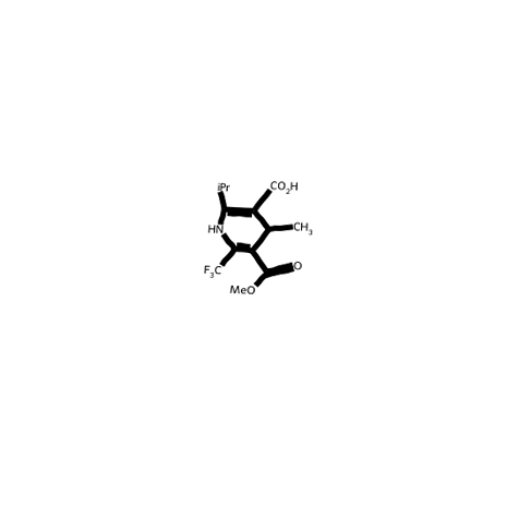 COC(=O)C1=C(C(F)(F)F)NC(C(C)C)=C(C(=O)O)C1C